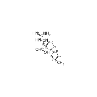 Cc1ccc(C2CCc3nc(NC(=N)N)sc3C2)cc1.O=CO